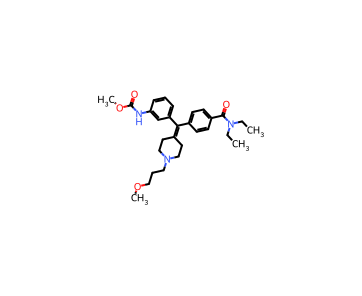 CCN(CC)C(=O)c1ccc(C(=C2CCN(CCCOC)CC2)c2cccc(NC(=O)OC)c2)cc1